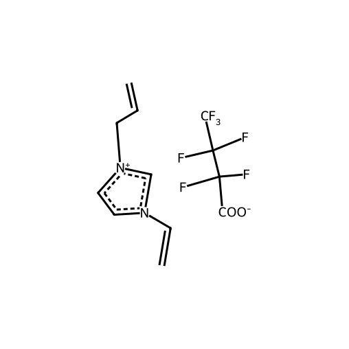 C=CC[n+]1ccn(C=C)c1.O=C([O-])C(F)(F)C(F)(F)C(F)(F)F